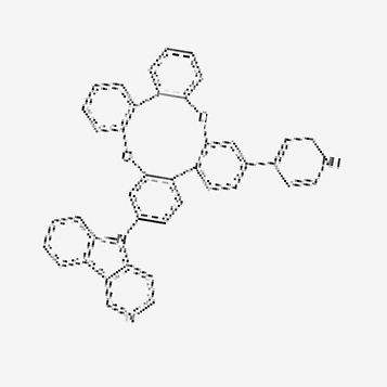 C1=CC(c2ccc3c(c2)Oc2ccccc2-c2ccccc2Oc2cc(-n4c5ccccc5c5cnccc54)ccc2-3)=CCN1